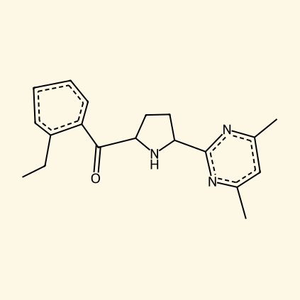 CCc1ccccc1C(=O)C1CCC(c2nc(C)cc(C)n2)N1